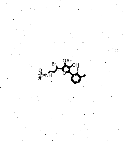 CC(=O)Oc1c(C(Br)CCN[SH](=O)=O)oc(-c2cccc(F)c2F)c1O